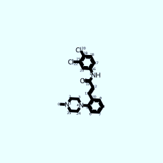 CN1CCN(c2ccccc2C=CC(=O)Nc2ccc(Cl)c(Cl)c2)CC1